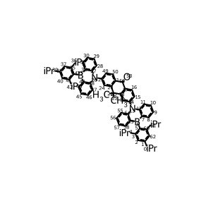 CC(C)c1cc(C(C)C)c(B2c3ccccc3N(c3ccc4c(c3)C(C)(C)c3cc(N5c6ccccc6B(c6c(C(C)C)cc(C(C)C)cc6C(C)C)c6ccccc65)ccc3C4=O)c3ccccc32)c(C(C)C)c1